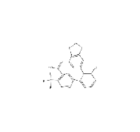 O=C(O)c1cc(-c2cccc(Cl)c2-c2ccc3c(c2)CCO3)ccc1C(F)(F)F